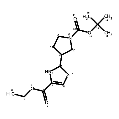 CCOC(=O)C1=CSC(C2CCN(C(=O)OC(C)(C)C)C2)N1